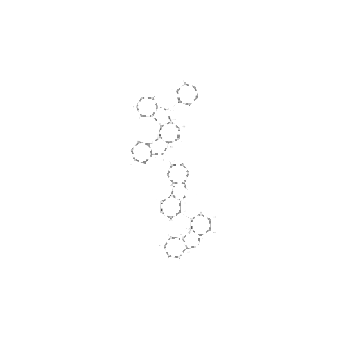 c1ccc(-n2c3ccccc3c3c4c5ccccc5n(-c5ccc6oc7c(-c8cccc9oc%10ccccc%10c89)cccc7c6c5)c4ccc32)cc1